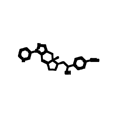 COc1ccc(C(O)C[C@H]2CCC3=Cc4c(cnn4-c4cccnc4)C[C@@]32C)cc1